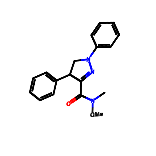 CON(C)C(=O)C1=NN(c2ccccc2)CC1c1ccccc1